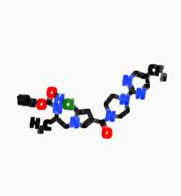 CC(Cn1cc(C(=O)N2CCN(c3ncc(C(F)(F)F)cn3)CC2)cc1Cl)NC(=O)OC(C)(C)C